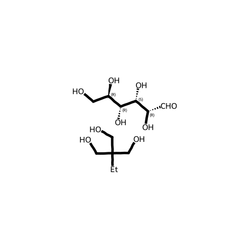 CCC(CO)(CO)CO.O=C[C@H](O)[C@@H](O)[C@H](O)[C@H](O)CO